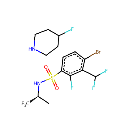 C[C@H](NS(=O)(=O)c1ccc(Br)c(C(F)F)c1F)C(F)(F)F.FC1CCNCC1